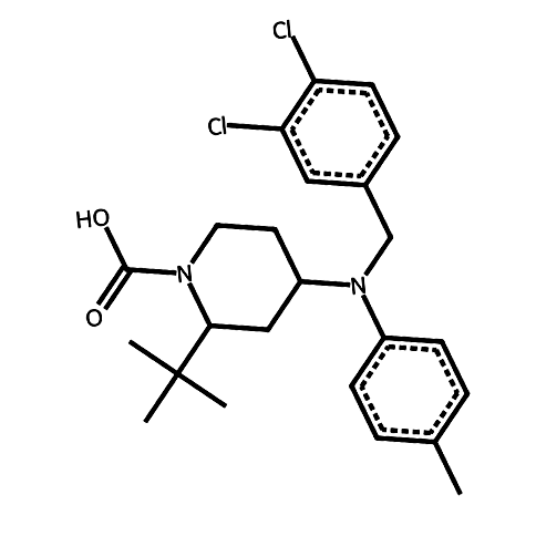 Cc1ccc(N(Cc2ccc(Cl)c(Cl)c2)C2CCN(C(=O)O)C(C(C)(C)C)C2)cc1